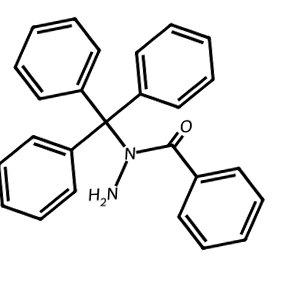 NN(C(=O)c1ccccc1)C(c1ccccc1)(c1ccccc1)c1ccccc1